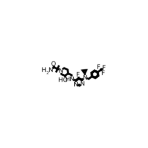 CC(C)(C(N)=O)N1CCC(CNc2ncnc(N(Cc3ccc(C(F)(F)F)cc3)C3CC3)c2F)C(O)C1